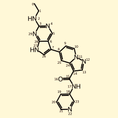 CCNc1ncc2c(-c3ccn4ncc(C(=O)Nc5cccnc5)c4c3)c[nH]c2n1